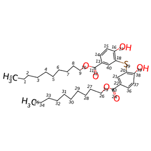 CCCCCCCCCCOC(=O)c1ccc(O)c(Sc2cc(C(=O)OCCCCCCCCCC)ccc2O)c1